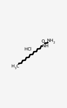 CCCCCCCCCCCCCCNC(=O)CN.Cl